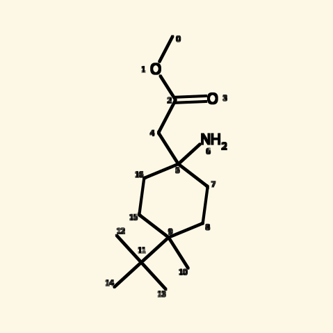 COC(=O)CC1(N)CCC(C)(C(C)(C)C)CC1